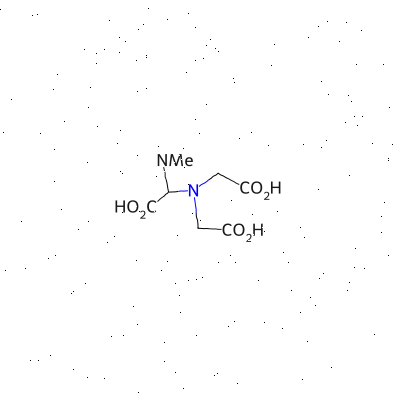 CNC(C(=O)O)N(CC(=O)O)CC(=O)O